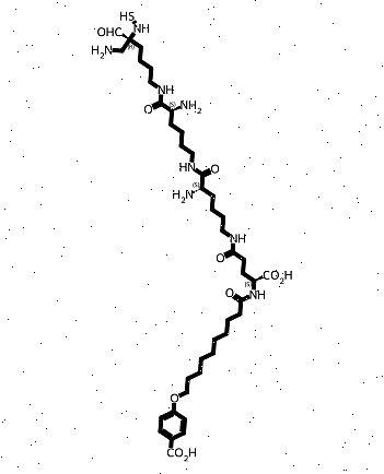 NC[C@@](C=O)(CCCCNC(=O)[C@@H](N)CCCCNC(=O)[C@@H](N)CCCCNC(=O)CC[C@H](NC(=O)CCCCCCCCCOc1ccc(C(=O)O)cc1)C(=O)O)NS